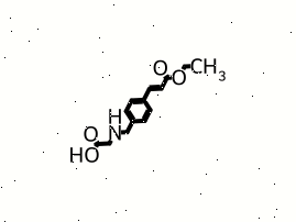 CCOC(=O)/C=C/c1ccc(CNCC(=O)O)cc1